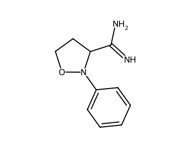 N=C(N)C1CCON1c1ccccc1